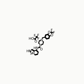 O=C(NC1=CC=CN2SNC=C12)N1CCN(Cc2ccc3c(c2)OC(F)(F)O3)CC1.O=C(O)C(F)(F)F